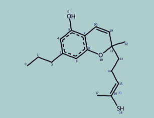 CCCc1cc(O)c2c(c1)OC(C)(CC/C=C(\C)S)C=C2